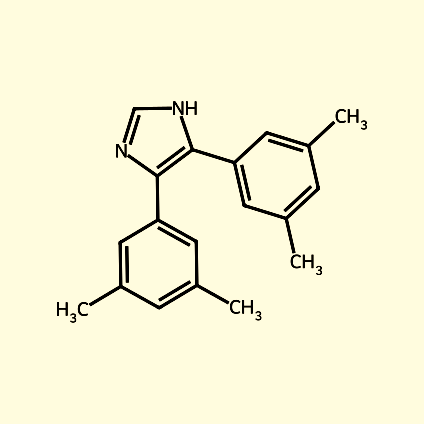 Cc1cc(C)cc(-c2nc[nH]c2-c2cc(C)cc(C)c2)c1